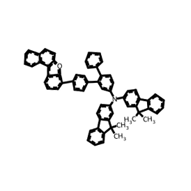 CC1(C)c2ccccc2-c2ccc(N(c3ccc(-c4ccccc4)c(-c4ccc(-c5cccc6c5oc5ccc7ccccc7c56)cc4)c3)c3ccc4c(c3)C(C)(C)c3ccccc3-4)cc21